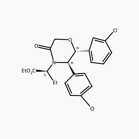 CCOC(=O)[C@H](CC)N1C(=O)CO[C@H](c2cccc(Cl)c2)[C@H]1c1ccc(Cl)cc1